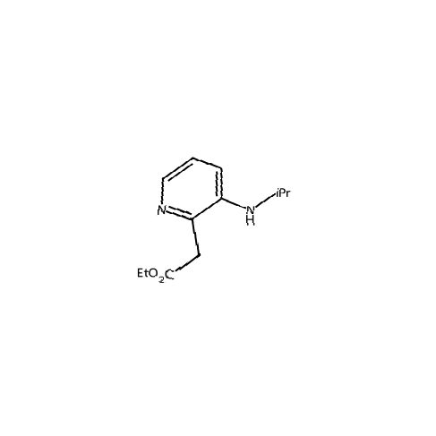 CCOC(=O)Cc1ncccc1NC(C)C